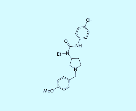 CCN(C(=O)Nc1ccc(O)cc1)C1CCN(Cc2ccc(OC)cc2)C1